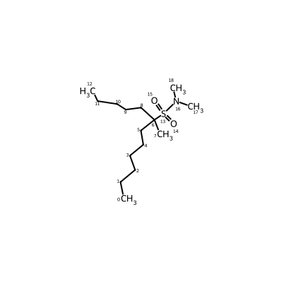 CCCCCCC(C)(CCCCC)S(=O)(=O)N(C)C